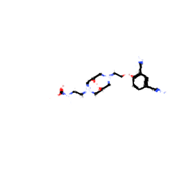 N#Cc1ccc(OCCN2CC3CN(CCNC(=O)O)CC(C2)O3)c(C#N)c1